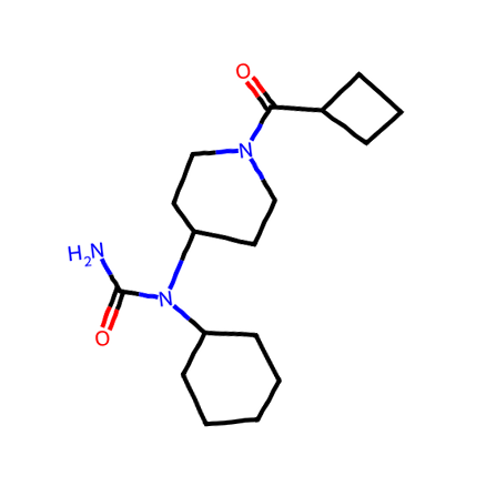 NC(=O)N(C1CCCCC1)C1CCN(C(=O)C2CCC2)CC1